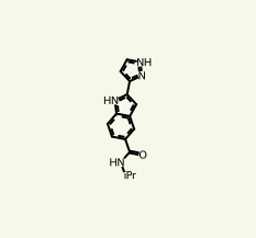 CC(C)NC(=O)c1ccc2[nH]c(-c3cc[nH]n3)cc2c1